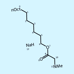 CCCCCCCCCCCCCCOC(=O)CNC.[NaH]